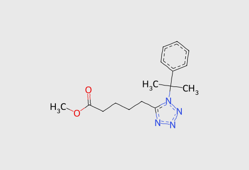 COC(=O)CCCCc1nnnn1C(C)(C)c1ccccc1